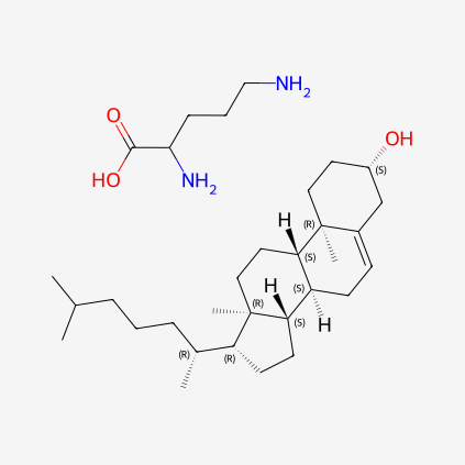 CC(C)CCC[C@@H](C)[C@H]1CC[C@H]2[C@@H]3CC=C4C[C@@H](O)CC[C@]4(C)[C@H]3CC[C@]12C.NCCCC(N)C(=O)O